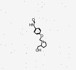 O=CNc1ccc(OCN2CCCC2CO)cc1